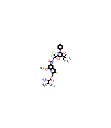 CCC1(C)COc2c1cc(C(O)(CNC(=O)c1cc(OC)c3nc(COC(=O)[C@H](N)C(C)C)c(F)cc3c1)C(F)(F)F)nc2-c1ccc(F)cc1